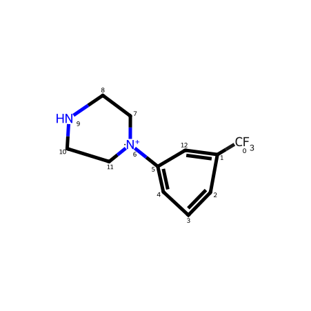 FC(F)(F)c1cccc([N+]2CCNCC2)c1